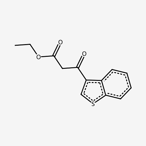 CCOC(=O)CC(=O)c1csc2ccccc12